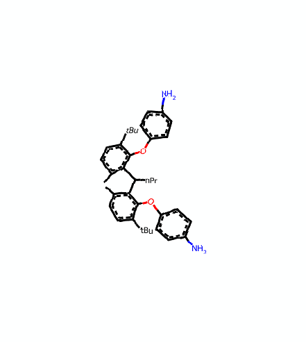 CCCC(c1c(C)ccc(C(C)(C)C)c1Oc1ccc(N)cc1)c1c(C)ccc(C(C)(C)C)c1Oc1ccc(N)cc1